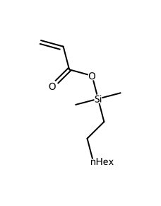 C=CC(=O)O[Si](C)(C)CCCCCCCC